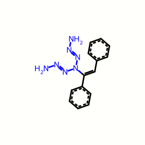 NN=NN(N=NN)C(=Cc1ccccc1)c1ccccc1